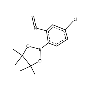 C=Nc1cc(Cl)ccc1B1OC(C)(C)C(C)(C)O1